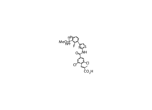 CCCC(CCC)(OC)c1cccc(-c2csc(NC(=O)c3cc(Cl)c(C=C(C)C(=O)O)c(Cl)c3)n2)c1F